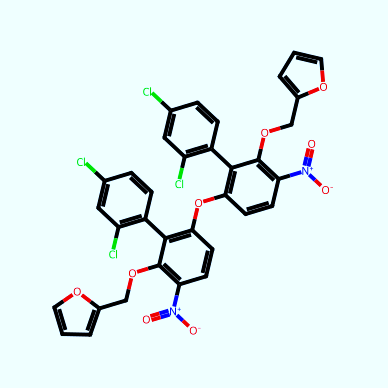 O=[N+]([O-])c1ccc(Oc2ccc([N+](=O)[O-])c(OCc3ccco3)c2-c2ccc(Cl)cc2Cl)c(-c2ccc(Cl)cc2Cl)c1OCc1ccco1